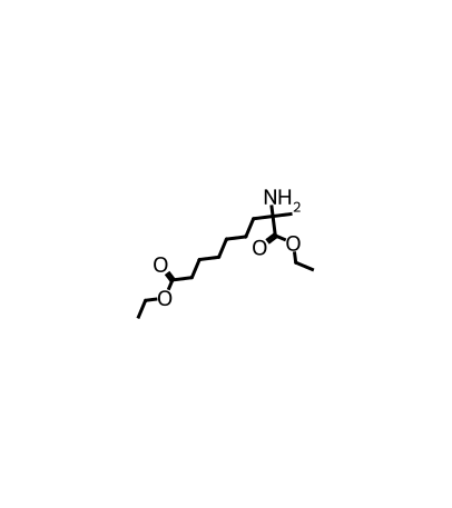 CCOC(=O)CCCCCCC(C)(N)C(=O)OCC